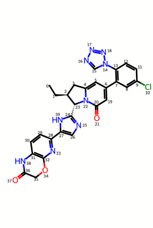 CC[C@H]1Cc2cc(-c3cc(Cl)ccc3-n3cnnn3)cc(=O)n2[C@@H]1c1ncc(-c2ccc3c(n2)OCC(=O)N3)[nH]1